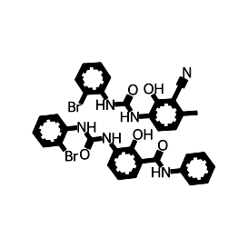 Cc1ccc(NC(=O)Nc2ccccc2Br)c(O)c1C#N.O=C(Nc1ccccc1Br)Nc1cccc(C(=O)Nc2ccccc2)c1O